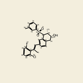 C/C(=C\c1ccc2c(c1)C(S(=O)(=O)c1cccc(C)c1)[C@H](C)[C@H](O)C2)c1c(F)cccc1Cl